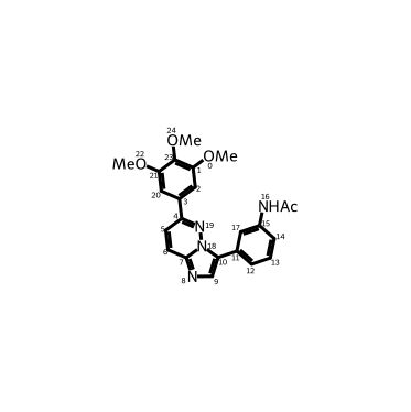 COc1cc(-c2ccc3ncc(-c4cccc(NC(C)=O)c4)n3n2)cc(OC)c1OC